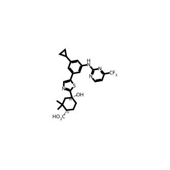 CC1(C)C[C@@](O)(c2ncc(-c3cc(Nc4nccc(C(F)(F)F)n4)cc(C4CC4)c3)s2)CC[C@@H]1C(=O)O